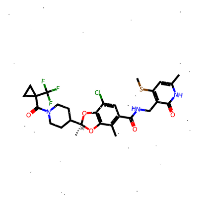 CSc1cc(C)[nH]c(=O)c1CNC(=O)c1cc(Cl)c2c(c1C)O[C@@](C)(C1CCN(C(=O)C3(C(F)(F)F)CC3)CC1)O2